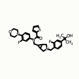 CC(C)(O)c1ccc(CN2CC3C(C2)C3CN(C(=O)c2cccs2)c2ccc(N3CCOCC3)c(F)c2)c(F)c1